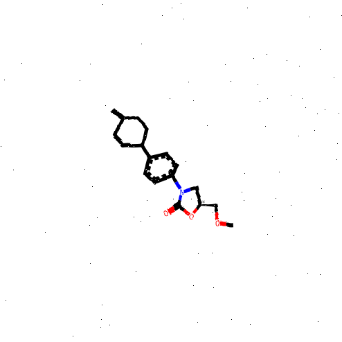 C=C1CCC(c2ccc(N3C[C@@H](COC)OC3=O)cc2)CC1